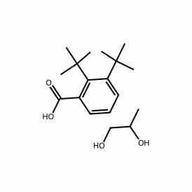 CC(C)(C)c1cccc(C(=O)O)c1C(C)(C)C.CC(O)CO